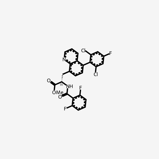 COC(=O)[C@H](Cc1ccc(-c2c(Cl)cc(F)cc2Cl)c2cccnc12)NC(=O)c1c(F)cccc1F